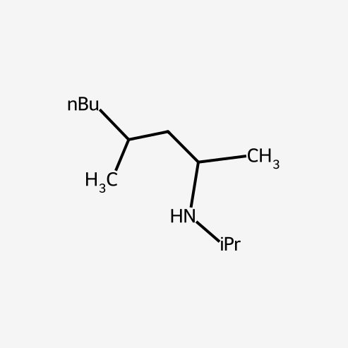 CCCCC(C)CC(C)NC(C)C